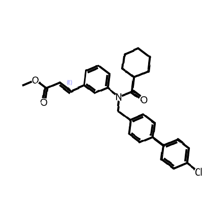 COC(=O)/C=C/c1cccc(N(Cc2ccc(-c3ccc(Cl)cc3)cc2)C(=O)C2CCCCC2)c1